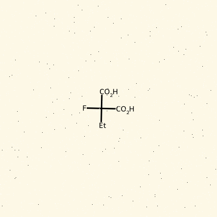 CCC(F)(C(=O)O)C(=O)O